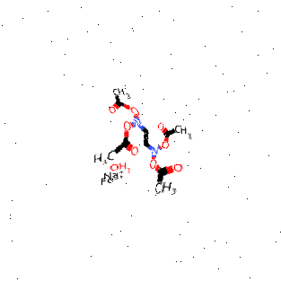 CC(=O)ON(CCN(OC(C)=O)OC(C)=O)OC(C)=O.O.[Fe+3].[Na+]